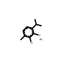 Cc1ccc(C(C)C)c(Cl)c1Cl.[Ru]